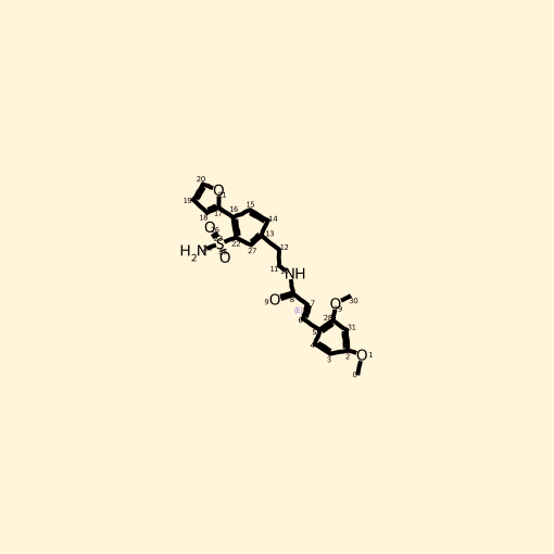 COc1ccc(/C=C/C(=O)NCCc2ccc(-c3ccco3)c(S(N)(=O)=O)c2)c(OC)c1